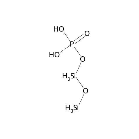 O=P(O)(O)O[SiH2]O[SiH3]